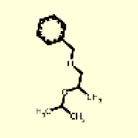 CC(C)OC(C)COCc1ccccc1